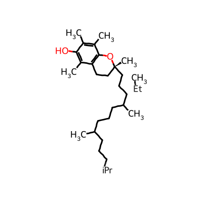 CCC.Cc1c(C)c2c(c(C)c1O)CC[C@@](C)(CCCC(C)CCCC(C)CCCC(C)C)O2